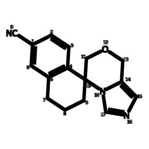 N#Cc1ccc2c(c1)CCCC21COCc2cncn21